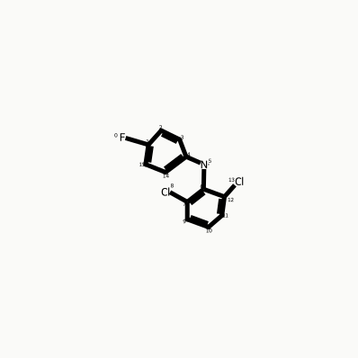 Fc1ccc([N]c2c(Cl)cccc2Cl)cc1